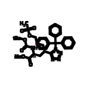 COC(=O)[C@H](CC(CCCOS(C)(=O)=O)c1nnnn1C(c1ccccc1)(c1ccccc1)c1ccccc1)NC(=O)OC(C)(C)C